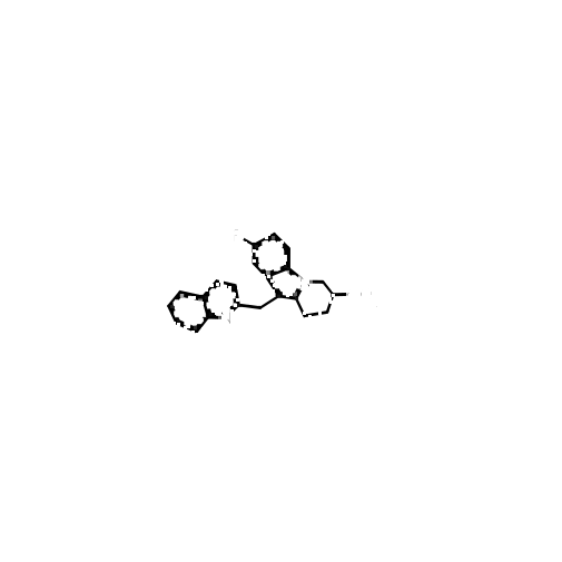 O=C(O)C1CCc2c(Cc3ccc4ccccc4n3)c3cc(F)ccc3n2C1